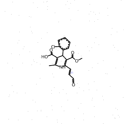 COC(=O)C1=C(/C=C/C=O)NC(C)=C(C(=O)O)C1c1ccccc1Cl